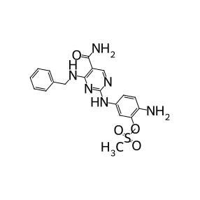 CS(=O)(=O)Oc1cc(Nc2ncc(C(N)=O)c(NCc3ccccc3)n2)ccc1N